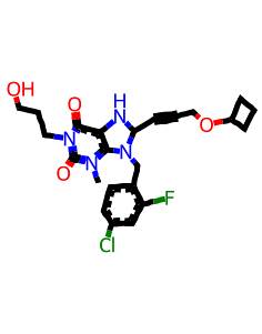 Cn1c2c(c(=O)n(CCCO)c1=O)NC(C#CCOC1CCC1)N2Cc1ccc(Cl)cc1F